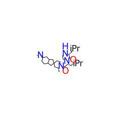 CC(C)C[C@@H]1NCCN([C@@H](CC(C)C)C(=O)N2CCC3(CC4CCC(N(C)C)CC4C3)C[C@@H]2C)C1=O